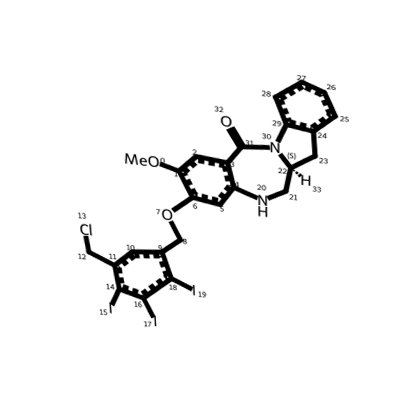 COc1cc2c(cc1OCc1cc(CCl)c(I)c(I)c1I)NC[C@@H]1Cc3ccccc3N1C2=O